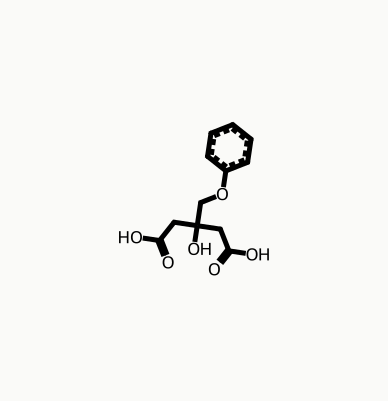 O=C(O)CC(O)(COc1ccccc1)CC(=O)O